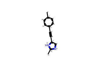 Cc1ccc(C#Cc2cnc(C)[nH]2)cc1